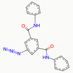 [N-]=[N+]=Nc1cc(C(=O)Nc2ccccc2)cc(C(=O)Nc2ccccc2)c1